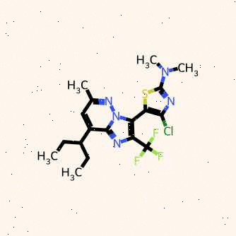 CCC(CC)c1cc(C)nn2c(-c3sc(N(C)C)nc3Cl)c(C(F)(F)F)nc12